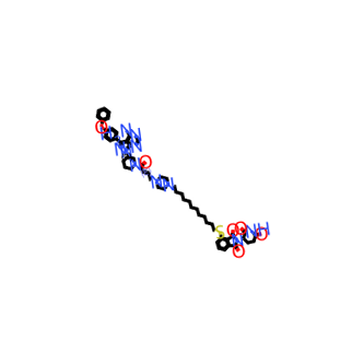 Nc1ncnc2c1c(-c1ccc(Oc3ccccc3)cc1)nn2[C@@H]1CCCN(C(=O)/C=C/CN2CCN(CCCCCCCCCCCCSc3cccc4c3C(=O)N(C3CCC(=O)NC3=O)C4=O)CC2)C1